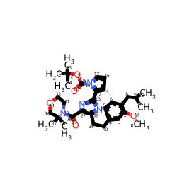 COc1cc2c(cc1CC(C)C)-n1c(-c3cccn3C(=O)OC(C)(C)C)nc(C(=O)N3CCOCC3(C)C)c1CC2